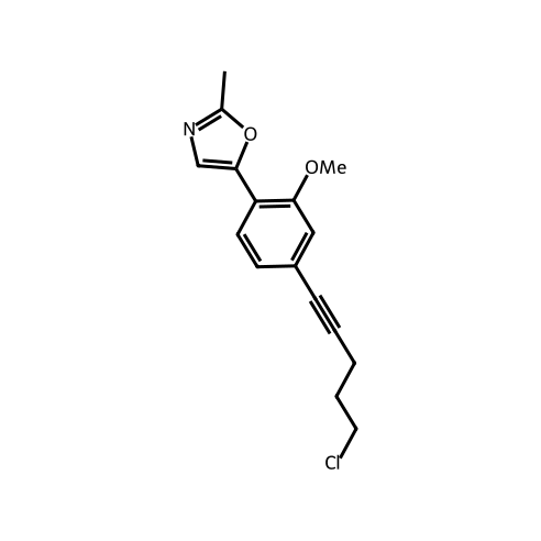 COc1cc(C#CCCCCl)ccc1-c1cnc(C)o1